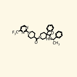 C[C@H](NC(=O)C1(c2ccccc2)CCN(C(=O)C2CCN(c3nccc(C(F)(F)F)n3)CC2)CC1)c1ccccc1